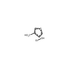 CCO.O=C(O)c1ccsc1